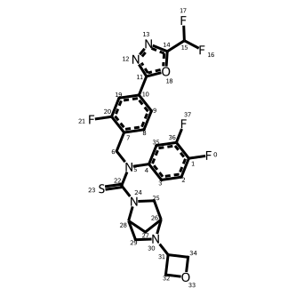 Fc1ccc(N(Cc2ccc(-c3nnc(C(F)F)o3)cc2F)C(=S)N2CC3CC2CN3C2COC2)cc1F